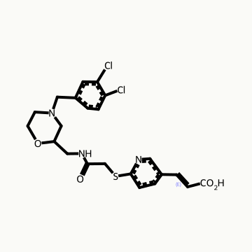 O=C(O)/C=C/c1ccc(SCC(=O)NCC2CN(Cc3ccc(Cl)c(Cl)c3)CCO2)nc1